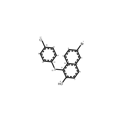 Oc1ccc2cc(Br)ccc2c1Sc1ccc(Cl)cc1